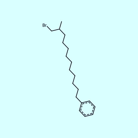 CC(CBr)CCCCCCCCCCc1ccccc1